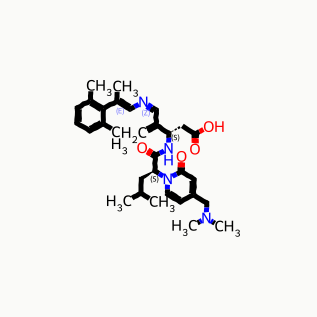 C=C(/C=N\C=C(/C)c1c(C)cccc1C)[C@H](CC(=O)O)NC(=O)[C@H](CC(C)C)n1ccc(CN(C)C)cc1=O